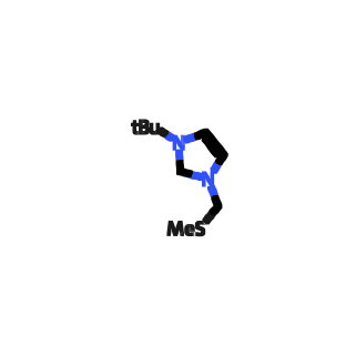 CSCN1C=CN(C(C)(C)C)C1